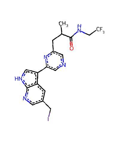 CC(Cc1cncc(-c2c[nH]c3ncc(CI)cc23)n1)C(=O)NCC(F)(F)F